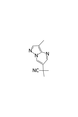 Cc1cnn2cc(C(C)(C)C#N)cnc12